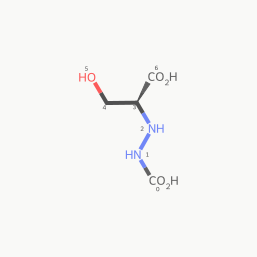 O=C(O)NN[C@@H](CO)C(=O)O